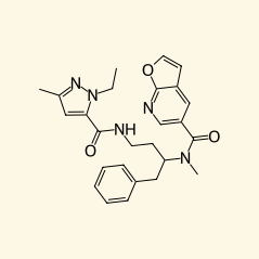 CCn1nc(C)cc1C(=O)NCCC(Cc1ccccc1)N(C)C(=O)c1cnc2occc2c1